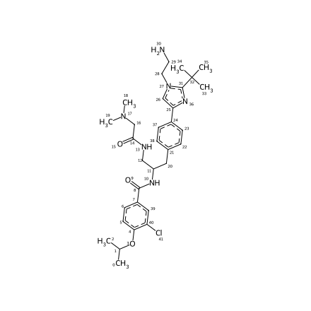 CC(C)Oc1ccc(C(=O)NC(CNC(=O)CN(C)C)Cc2ccc(-c3cn(CCN)c(C(C)(C)C)n3)cc2)cc1Cl